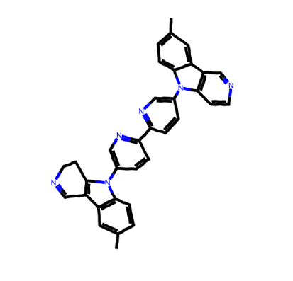 Cc1ccc2c(c1)c1c(n2-c2ccc(-c3ccc(-n4c5ccncc5c5cc(C)ccc54)cn3)nc2)CCN=C1